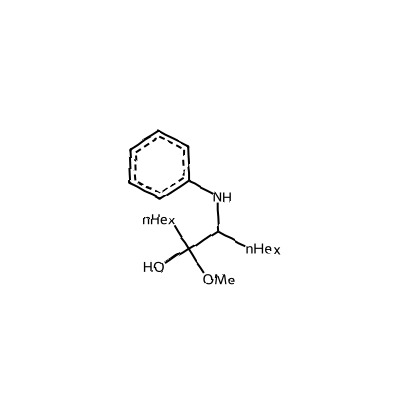 CCCCCCC(Nc1ccccc1)C(O)(CCCCCC)OC